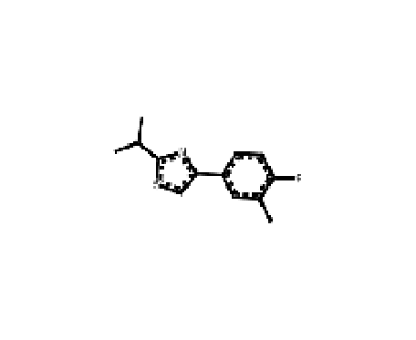 Cc1cc(-c2csc(C(C)C)n2)ccc1F